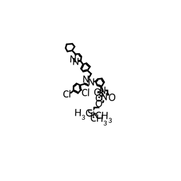 C[Si](C)(C)CCOCN1C(=O)CN(c2cccc(-n3cc(-c4ccc(Cl)cc4Cl)nc3Cc3ccc(-c4ccc(C5CCCCC5)nn4)cc3)c2)S1(=O)=O